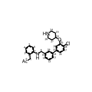 CC(=O)Cc1ccccc1NCc1cccc(-c2ccc(Cl)c(OC3CCNCC3)c2)c1